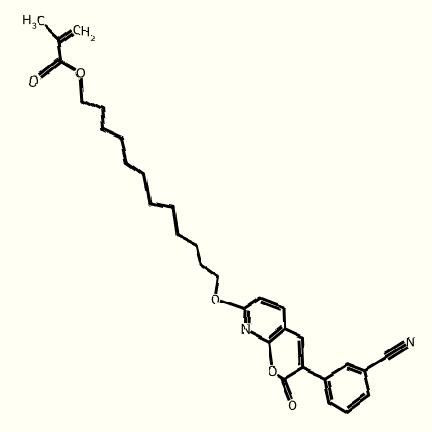 C=C(C)C(=O)OCCCCCCCCCCCCOc1ccc2cc(-c3cccc(C#N)c3)c(=O)oc2n1